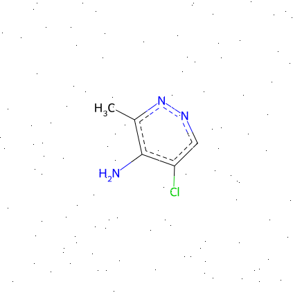 Cc1nncc(Cl)c1N